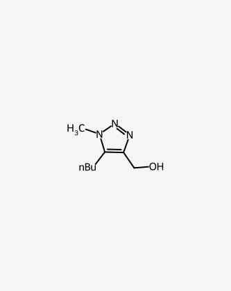 CCCCc1c(CO)nnn1C